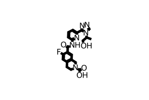 CC(CO)n1cnnc1-c1cccc(NC(=O)c2cc3c(cc2F)CCN(C(=O)O)C3)n1